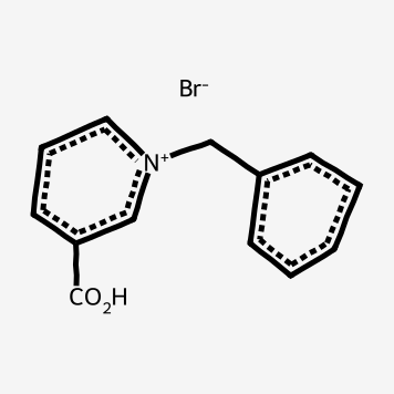 O=C(O)c1ccc[n+](Cc2ccccc2)c1.[Br-]